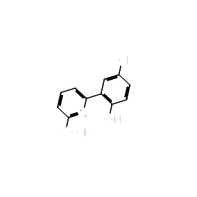 Cc1ccc(O)c(-c2cccc(C(=O)O)n2)c1